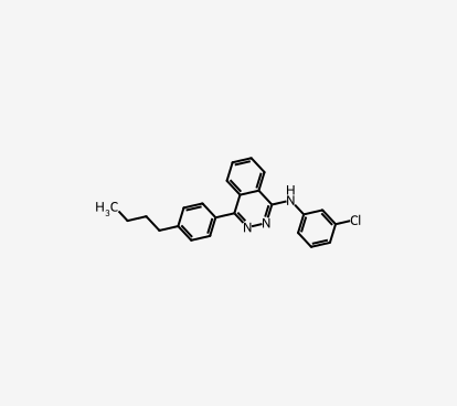 CCCCc1ccc(-c2nnc(Nc3cccc(Cl)c3)c3ccccc23)cc1